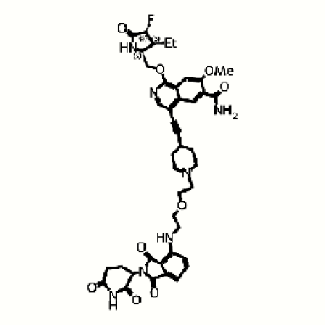 CC[C@@H]1[C@H](F)C(=O)N[C@@H]1COc1ncc(C#CC2CCN(CCOCCNc3cccc4c3C(=O)N(C3CCC(=O)NC3=O)C4=O)CC2)c2cc(C(N)=O)c(OC)cc12